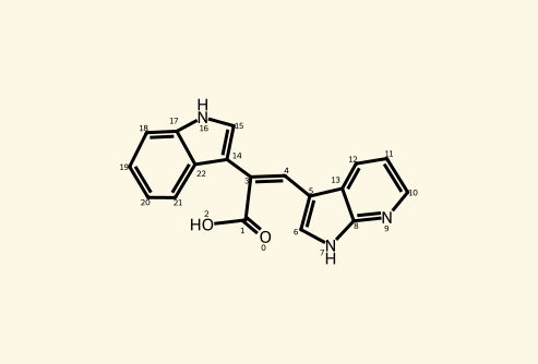 O=C(O)C(=Cc1c[nH]c2ncccc12)c1c[nH]c2ccccc12